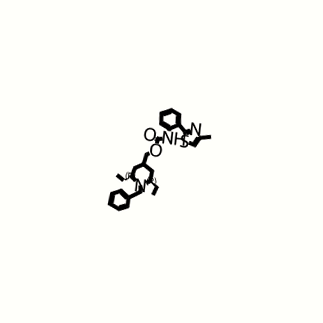 CC[C@@H]1CC(COC(=O)Nc2ccccc2-c2nc(C)cs2)C[C@@H](CC)N1Cc1ccccc1